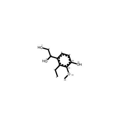 CCc1c(C(O)CO)ccc(O)c1OC